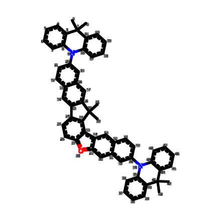 CC1(C)c2ccccc2N(c2ccc3cc4c(cc3c2)C(C)(C)c2c-4ccc3oc4cc5cc(N6c7ccccc7C(C)(C)c7ccccc76)ccc5cc4c23)c2ccccc21